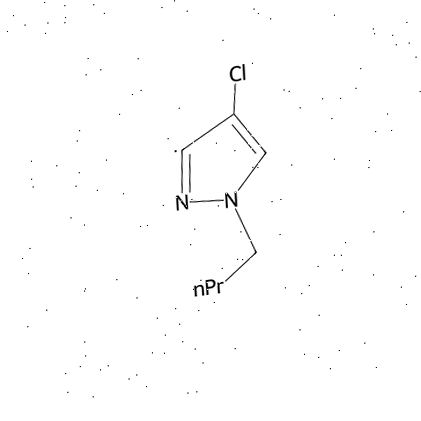 CCCCn1cc(Cl)[c]n1